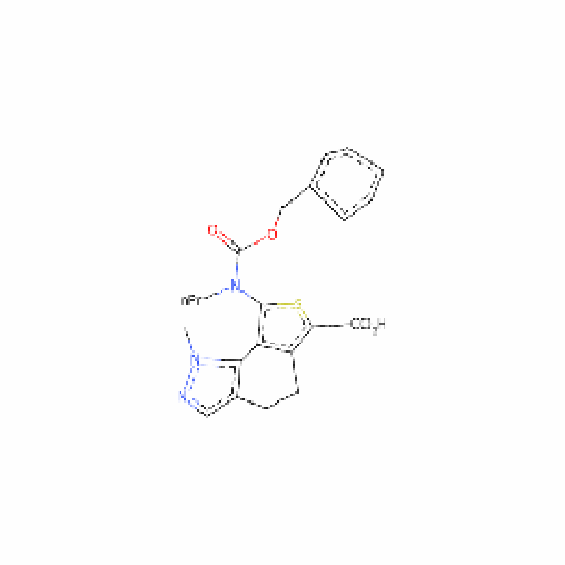 CCCN(C(=O)OCc1ccccc1)c1sc(C(=O)O)c2c1-c1c(cnn1C)CC2